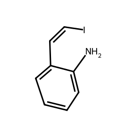 Nc1ccccc1/C=C\I